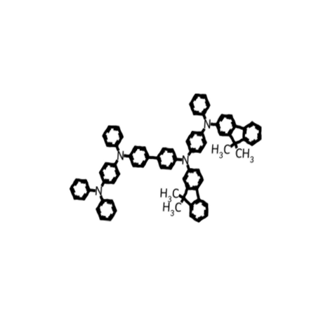 CC1(C)c2ccccc2-c2ccc(N(c3ccccc3)c3ccc(N(c4ccc(-c5ccc(N(c6ccccc6)c6ccc(N(c7ccccc7)c7ccccc7)cc6)cc5)cc4)c4ccc5c(c4)C(C)(C)c4ccccc4-5)cc3)cc21